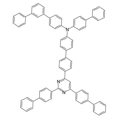 c1ccc(-c2ccc(-c3cc(-c4ccc(-c5ccc(N(c6ccc(-c7ccccc7)cc6)c6ccc(-c7cccc(-c8ccccc8)c7)cc6)cc5)cc4)nc(-c4ccc(-c5ccccc5)cc4)n3)cc2)cc1